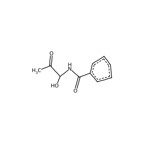 CC(=O)C(O)NC(=O)c1ccccc1